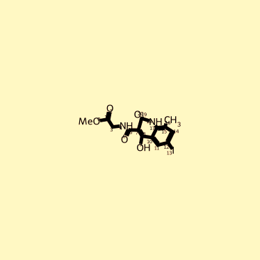 COC(=O)CNC(=O)c1c(O)c2cc(I)cc(C)c2[nH]c1=O